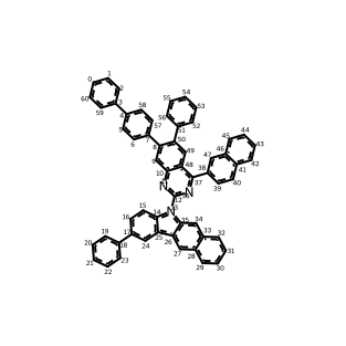 c1ccc(-c2ccc(-c3cc4nc(-n5c6ccc(-c7ccccc7)cc6c6cc7ccccc7cc65)nc(-c5ccc6ccccc6c5)c4cc3-c3ccccc3)cc2)cc1